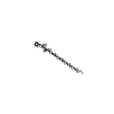 COCCOCCOCCOCCOCCOCCOCCOCCNC(=O)CCC(C=O)OCc1ccccc1